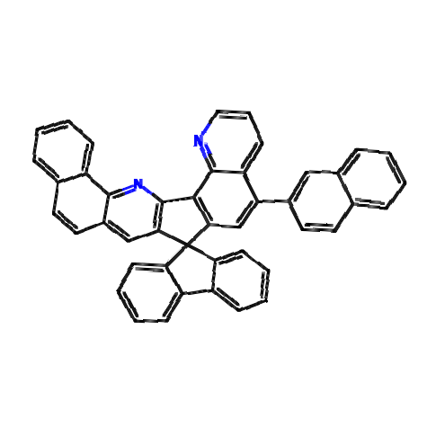 c1ccc2c(c1)-c1ccccc1C21c2cc3ccc4ccccc4c3nc2-c2c1cc(-c1ccc3ccccc3c1)c1cccnc21